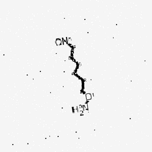 NOCCCCCCN=O